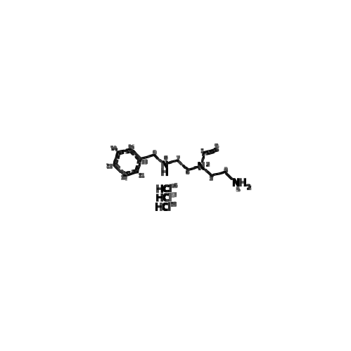 C=CN(CCN)CCNCc1ccccc1.Cl.Cl.Cl